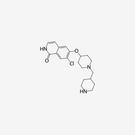 O=c1[nH]ccc2cc(OC3CCN(CC4CCNCC4)CC3)c(Cl)cc12